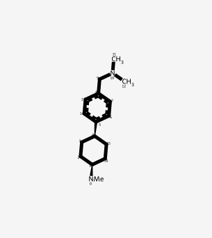 CN[C@H]1CC[C@@H](c2ccc(CN(C)C)cc2)CC1